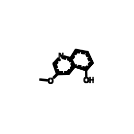 COc1cnc2cccc(O)c2c1